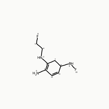 NC1=C(NCCF)CC(BF)C=C1